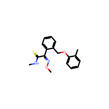 CNC(=S)C(=NOC)c1ccccc1COc1ccccc1C